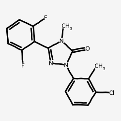 Cc1c(Cl)cccc1-n1nc(-c2c(F)cccc2F)n(C)c1=O